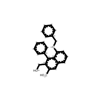 O=C(O)c1cc2cccc(OCc3ccccc3)c2c(-c2ccccc2)c1CO